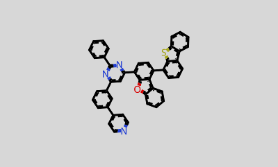 c1ccc(-c2nc(-c3cccc(-c4ccncc4)c3)cc(-c3ccc(-c4cccc5c4sc4ccccc45)c4c3oc3ccccc34)n2)cc1